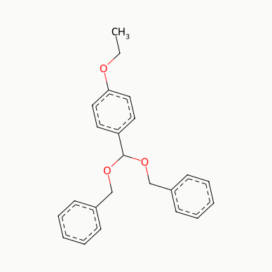 CCOc1ccc(C(OCc2ccccc2)OCc2ccccc2)cc1